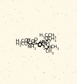 COC(=O)C(C)S/C(=N/NC(=O)OC(C)(C)C)c1ccc(N2CC([C@H](N)C(=O)OC(C)(C)C)OC2=O)cc1F